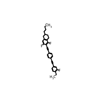 CCCCC1CCc2c(cc(F)c(C#Cc3ccc(C#Cc4ccc(CC)c(F)c4)cc3)c2F)C1